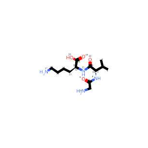 CC(C)[C@H](NC(=O)CN)C(=O)N[C@@H](CCCCN)C(=O)O